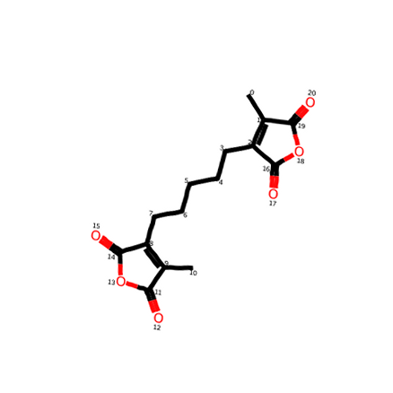 CC1=C(CCCCCC2=C(C)C(=O)OC2=O)C(=O)OC1=O